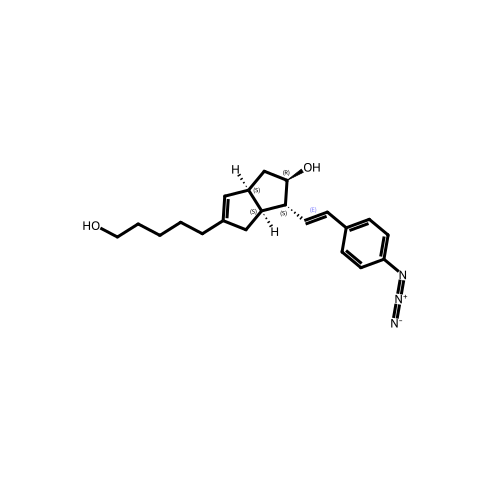 [N-]=[N+]=Nc1ccc(/C=C/[C@@H]2[C@H]3CC(CCCCCO)=C[C@H]3C[C@H]2O)cc1